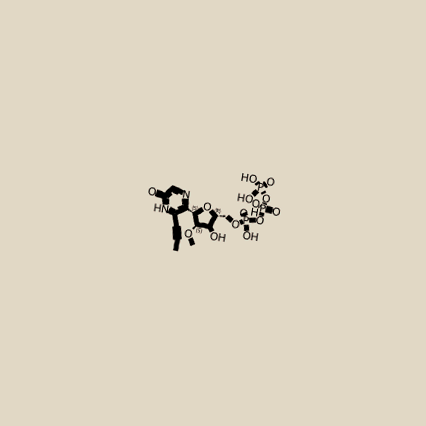 CC#Cc1[nH]c(=O)cnc1[C@@H]1O[C@H](COP(=O)(O)OP(=O)(O)OP(=O)(O)O)C(O)[C@@H]1OC